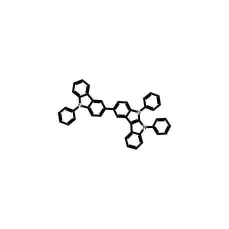 c1ccc(-n2c3ccccc3c3cc(-c4ccc5c(c4)c4c6ccccc6n(-c6ccccc6)c4n5-c4ccccc4)ccc32)cc1